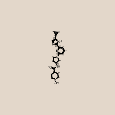 CC(C)N1CCC(C(=O)N[C@@H]2CCN(c3cccc(-c4ncc(C5CC5)[nH]4)n3)C2)CC1